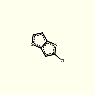 Clc1cc2sccc2s1